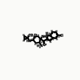 CCOC(=O)C1(NC2CCC(N)(C(=O)c3cc4cc(Cl)ccc4[nH]3)C(N)C2)CC1